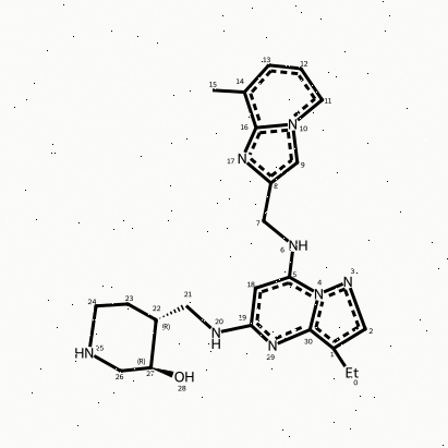 CCc1cnn2c(NCc3cn4cccc(C)c4n3)cc(NC[C@H]3CCNC[C@@H]3O)nc12